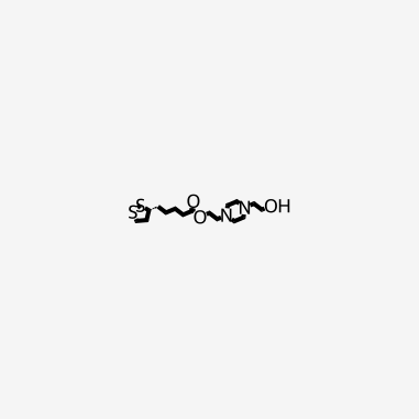 O=C(CCCC[C@@H]1CCSS1)OCCN1CCN(CCO)CC1